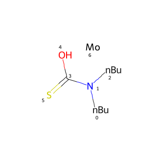 CCCCN(CCCC)C(O)=S.[Mo]